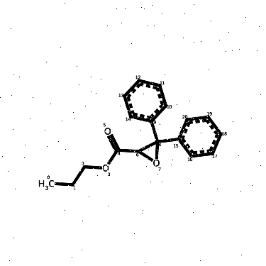 CCCOC(=O)C1OC1(c1ccccc1)c1ccccc1